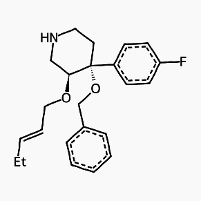 CCC=CCO[C@H]1CNCC[C@@]1(OCc1ccccc1)c1ccc(F)cc1